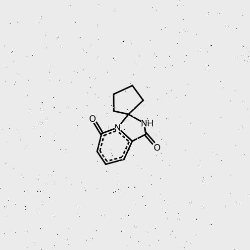 O=C1NC2(CCCC2)n2c1cccc2=O